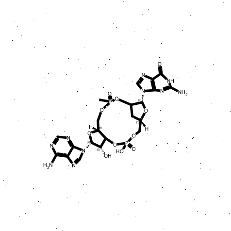 CP1(=O)OC[C@H]2O[C@@H](n3cnc4c(N)ncnc43)[C@@H](O)C2OP(=O)(O)OC[C@@H]2CC(O1)[C@H](n1cnc3c(=O)[nH]c(N)nc31)O2